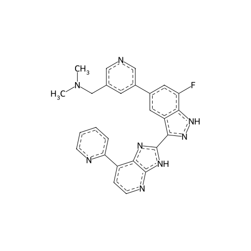 CN(C)Cc1cncc(-c2cc(F)c3[nH]nc(-c4nc5c(-c6ccccn6)ccnc5[nH]4)c3c2)c1